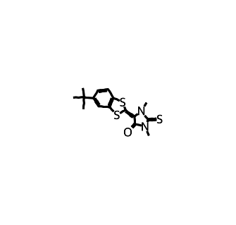 CN1C(=O)/C(=C2/Sc3ccc(C(C)(C)C)cc3S2)N(C)C1=S